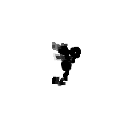 CCCCc1ccc(NC(=O)c2c[nH]nc2-c2ccccc2)cc1